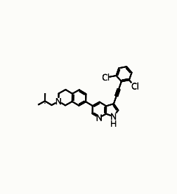 C[C](C)CN1CCc2ccc(-c3cnc4[nH]cc(C#Cc5c(Cl)cccc5Cl)c4c3)cc2C1